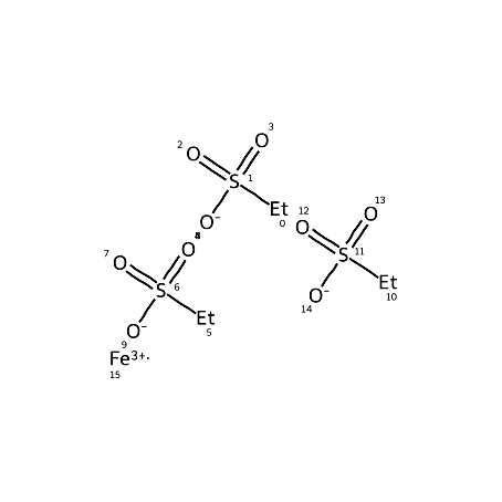 CCS(=O)(=O)[O-].CCS(=O)(=O)[O-].CCS(=O)(=O)[O-].[Fe+3]